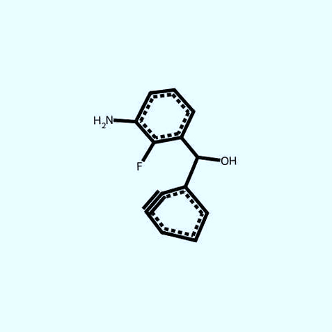 Nc1cccc(C(O)c2c#cccc2)c1F